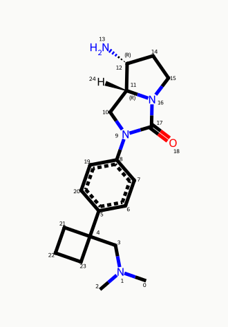 CN(C)CC1(c2ccc(N3C[C@@H]4[C@H](N)CCN4C3=O)cc2)CCC1